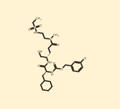 CCS(=O)(=O)NCCN(C)C(=O)CC[C@@H](CO)NC(=O)[C@H](CC1CCCCC1)NC(=O)OCc1cccc(Cl)c1